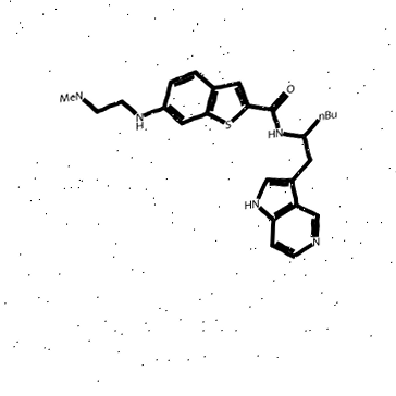 CCCCC(Cc1c[nH]c2ccncc12)NC(=O)c1cc2ccc(NCCNC)cc2s1